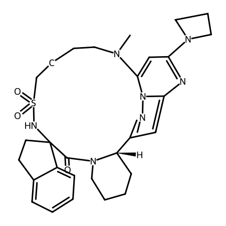 CN1CCCCS(=O)(=O)NC2(CCc3ccccc32)C(=O)N2CCCC[C@H]2c2cc3nc(N4CCC4)cc1n3n2